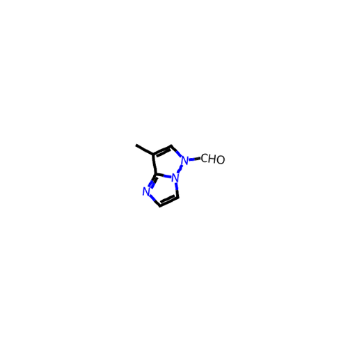 Cc1cn(C=O)n2ccnc12